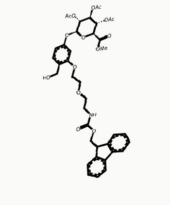 COC(=O)[C@H]1O[C@@H](Oc2ccc(CO)c(OCCOCCNC(=O)OCC3c4ccccc4-c4ccccc43)c2)[C@H](OC(C)=O)[C@@H](OC(C)=O)[C@@H]1OC(C)=O